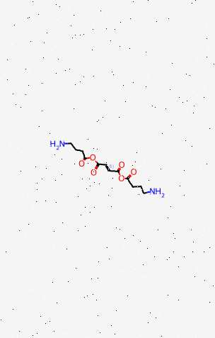 NCCCC(=O)OC(=O)/C=C/C(=O)OC(=O)CCCN